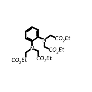 CCOC(=O)CN(CC(=O)OCC)c1ccccc1N(CC(=O)OCC)CC(=O)OCC